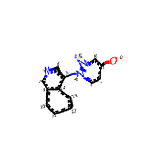 O=c1ccn(-c2cncc3ccccc23)nc1